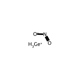 O=N[O-].[GeH3+]